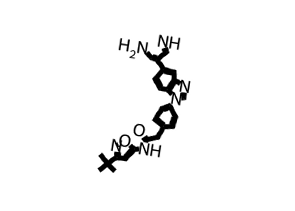 CC(C)(C)c1cc(NC(=O)Cc2ccc(-n3cnc4cc(/C(C=N)=C/N)ccc43)cc2)on1